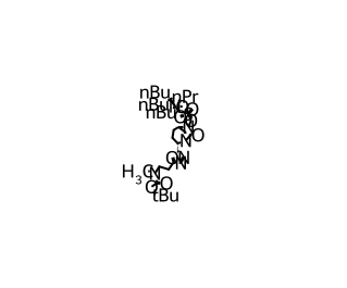 CCCCN(OS(=O)(=O)ON1C(=O)N2CC1CC[C@H]2c1nnc(CCN(C)C(=O)OC(C)(C)C)o1)C(CCC)(CCCC)CCCC